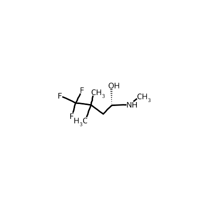 CN[C@@H](O)CC(C)(C)C(F)(F)F